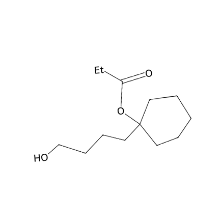 CCC(=O)OC1(CCCCO)CCCCC1